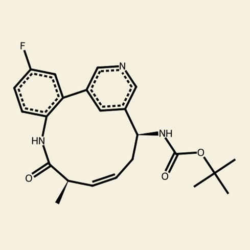 C[C@@H]1C=CC[C@H](NC(=O)OC(C)(C)C)c2cncc(c2)-c2cc(F)ccc2NC1=O